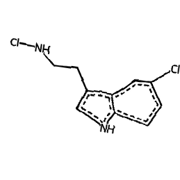 ClNCCc1c[nH]c2ccc(Cl)cc12